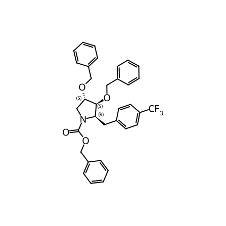 O=C(OCc1ccccc1)N1C[C@H](OCc2ccccc2)[C@@H](OCc2ccccc2)[C@H]1Cc1ccc(C(F)(F)F)cc1